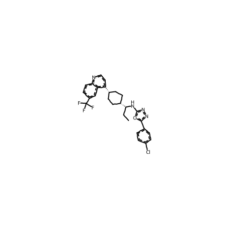 CCC(Nc1nnc(-c2ccc(Cl)cc2)o1)[C@H]1CC[C@@H](c2ccnc3ccc(C(F)(F)F)cc32)CC1